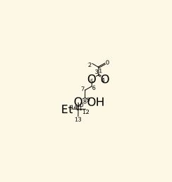 C=C(C)C(=O)OCCC(O)OC(C)(C)CC